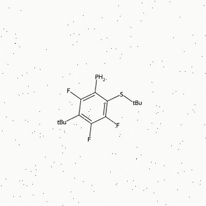 CC(C)(C)Sc1c(F)c(F)c(C(C)(C)C)c(F)c1P